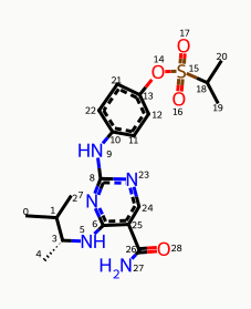 CC(C)[C@@H](C)Nc1nc(Nc2ccc(OS(=O)(=O)C(C)C)cc2)ncc1C(N)=O